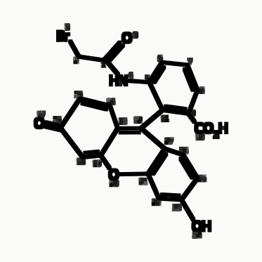 O=C(CBr)Nc1cccc(C(=O)O)c1-c1c2ccc(=O)cc-2oc2cc(O)ccc12